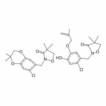 C=C(C)COc1cc(CN2OCC(C)(C)C2=O)c(Cl)cc1O.CC1(C)COc2cc(CN3OCC(C)(C)C3=O)c(Cl)cc2O1